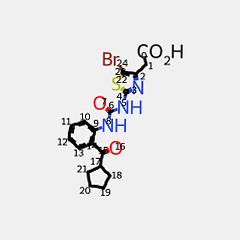 O=C(O)Cc1nc(NC(=O)Nc2ccccc2C(=O)C2CCCC2)sc1Br